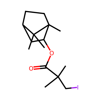 CC(C)(CI)C(=O)OC1CC2CCC1(C)C2(C)C